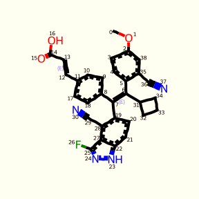 COc1ccc(/C(=C(\c2ccc(/C=C/C(=O)O)cc2)c2ccc3[nH]nc(F)c3c2C#N)C2CCC2)c(C#N)c1